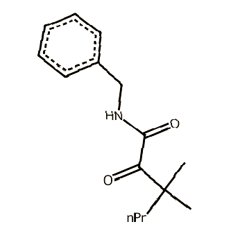 CCCC(C)(C)C(=O)C(=O)NCc1ccccc1